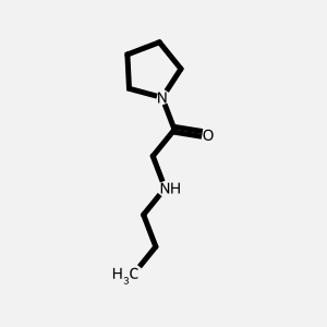 CCCNCC(=O)N1CCCC1